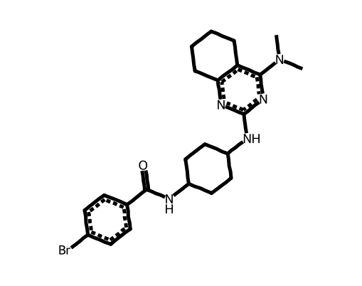 CN(C)c1nc(NC2CCC(NC(=O)c3ccc(Br)cc3)CC2)nc2c1CCCC2